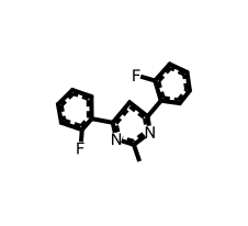 Cc1nc(-c2ccccc2F)cc(-c2ccccc2F)n1